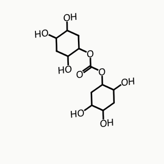 O=C(OC1CC(O)C(O)CC1O)OC1CC(O)C(O)CC1O